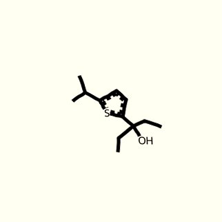 CCC(O)(CC)c1ccc(C(C)C)s1